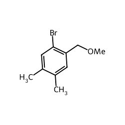 COCc1cc(C)c(C)cc1Br